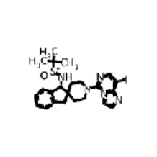 CC(C)(C)[S+]([O-])N[C@@H]1c2ccccc2CC12CCN(c1ncc(I)c3nccn13)CC2